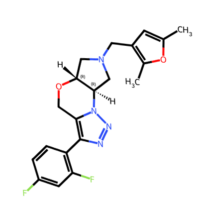 Cc1cc(CN2C[C@@H]3[C@@H](C2)OCc2c(-c4ccc(F)cc4F)nnn23)c(C)o1